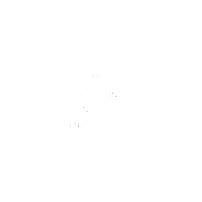 CCCCCCCCCN1/C(=C2/Nc3ccccc3C2=O)C(=O)c2ccccc21